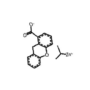 C[CH](C)[Zn+].O=C([O-])c1cccc2c1Cc1ccccc1O2